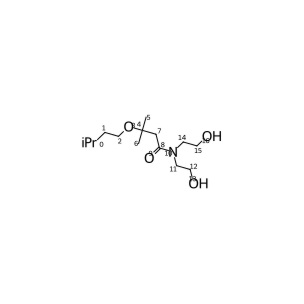 CC(C)CCOC(C)(C)CC(=O)N(CCO)CCO